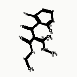 CCOC(=O)/C(C(=O)c1c(F)cccc1Cl)=C(/C)NC